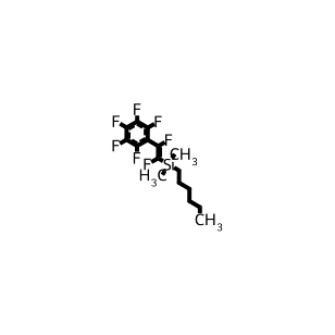 CCCCCC[Si](C)(C)C(F)=C(F)c1c(F)c(F)c(F)c(F)c1F